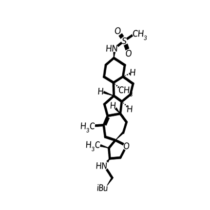 CC[C@H](C)CN[C@@H]1CO[C@]2(CC[C@@H]3C(=C(C)C2)C[C@H]2[C@H]3CC[C@@H]3C[C@H](NS(C)(=O)=O)CC[C@@]32C)[C@@H]1C